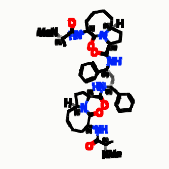 CN[C@@H](C)C(=O)N[C@H]1CCCC[C@H]2CC[C@@H](C(=O)N[C@H](C[C@@H](NC(=O)[C@@H]3CC[C@@H]4CCCC[C@H](NC(=O)[C@H](C)NC)C(=O)N43)c3ccccc3)c3ccccc3)N2C1=O